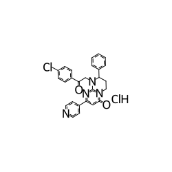 Cl.O=C(CN1c2nc(-c3ccncc3)cc(=O)n2CCC1c1ccccc1)c1ccc(Cl)cc1